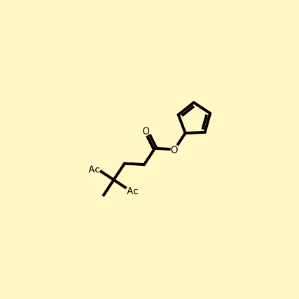 CC(=O)C(C)(CCC(=O)OC1C=CC=C1)C(C)=O